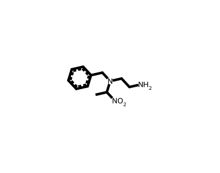 CC(N(CCN)Cc1ccccc1)[N+](=O)[O-]